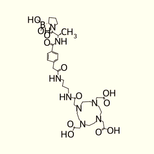 C[C@@H](NC(=O)c1ccc(CC(=O)NCCCNC(=O)CN2CCN(CC(=O)O)CCN(CC(=O)O)CCN(CC(=O)O)CC2)cc1)C(=O)N1CCC[C@H]1B(O)O